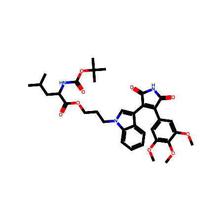 COc1cc(C2=C(c3cn(CCCOC(=O)C(CC(C)C)NC(=O)OC(C)(C)C)c4ccccc34)C(=O)NC2=O)cc(OC)c1OC